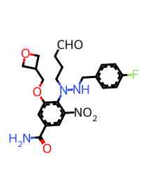 NC(=O)c1cc(OCC2COC2)c(N(CCCC=O)NCc2ccc(F)cc2)c([N+](=O)[O-])c1